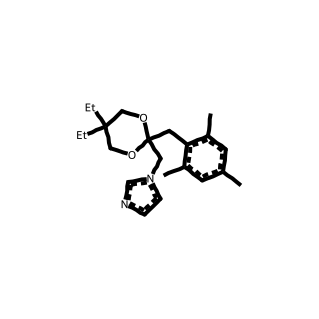 CCC1(CC)COC(Cc2c(C)cc(C)cc2C)(Cn2ccnc2)OC1